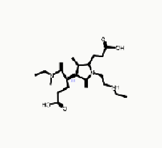 C=C(/C(CCC(=O)O)=C1/C(=C)N(CCNCC)C(CCC(=O)O)C1C)N(C)CC